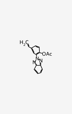 C=Cc1ccc(OC(C)=O)c(-n2nc3ccccc3n2)c1